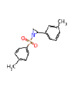 Cc1ccc(S(=O)(=O)N2CC2c2cccc(C)c2)cc1